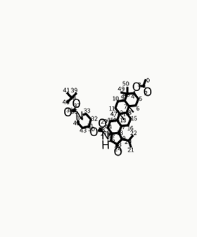 CC(=O)O[C@H]1CC[C@@]2(C)C(CC[C@]3(C)C2CCC2C4C(C(C)C)C(=O)CC4(NC(=O)OC4CCN(C(=O)OC(C)(C)C)CC4)CC[C@]23C)C1(C)C